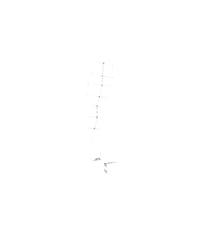 C=C(C)C(=O)OCC(F)(F)C(F)(F)C(F)(F)C(F)(F)C(F)(F)C(F)(F)C(F)(F)C(F)(F)F